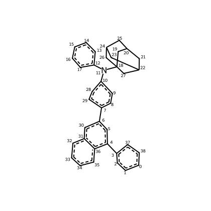 c1ccc(-c2cc(-c3ccc(N(c4ccccc4)C45CC6CC(CC(C6)C4)C5)cc3)cc3ccccc23)cc1